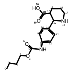 CCCCOC(=O)Nc1ccc(C2NCCCC2C(=O)O)cc1